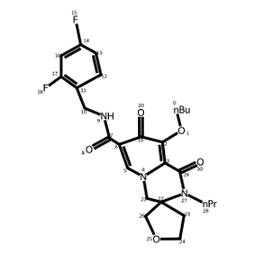 CCCCOc1c2n(cc(C(=O)NCc3ccc(F)cc3F)c1=O)CC1(CCOC1)N(CCC)C2=O